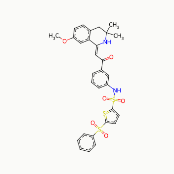 COc1ccc2c(c1)C(=CC(=O)c1cccc(NS(=O)(=O)c3ccc(S(=O)(=O)c4ccccc4)s3)c1)NC(C)(C)C2